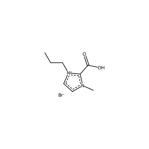 CCC[n+]1ccn(C)c1C(=O)O.[Br-]